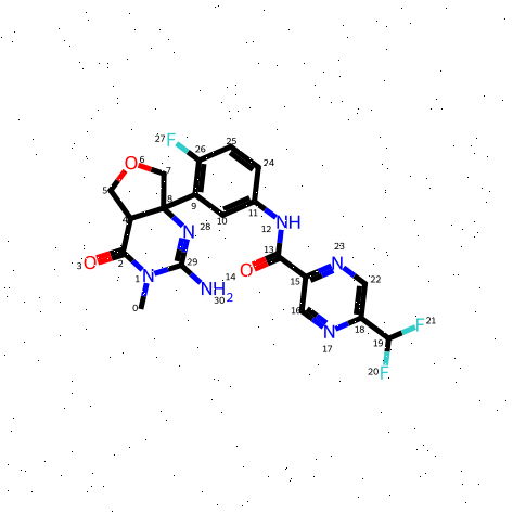 CN1C(=O)C2COCC2(c2cc(NC(=O)c3cnc(C(F)F)cn3)ccc2F)N=C1N